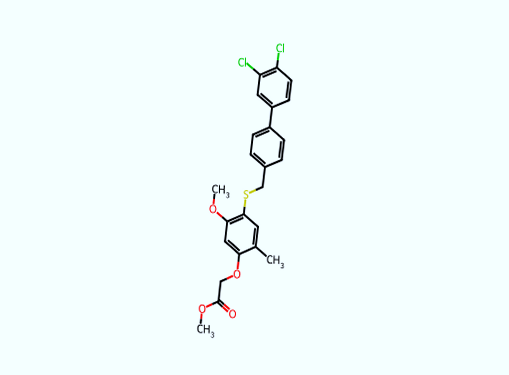 COC(=O)COc1cc(OC)c(SCc2ccc(-c3ccc(Cl)c(Cl)c3)cc2)cc1C